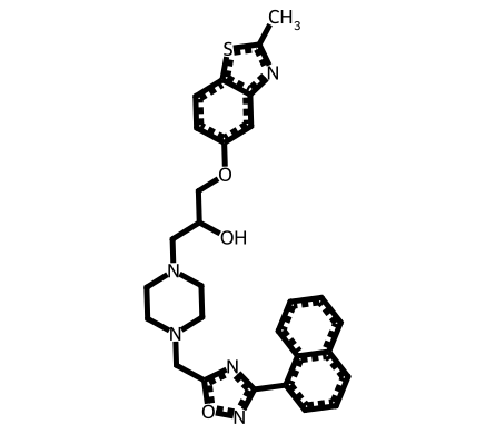 Cc1nc2cc(OCC(O)CN3CCN(Cc4nc(-c5cccc6ccccc56)no4)CC3)ccc2s1